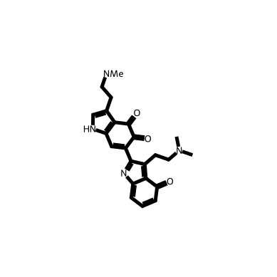 CNCCc1c[nH]c2c1C(=O)C(=O)C(C1=NC3=CC=CC(=O)C3=C1CCN(C)C)=C2